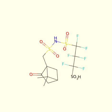 CC1(C)C2CC(=O)C1(CS(=O)(=O)NS(=O)(=O)C(F)(F)C(F)(F)C(F)(F)S(=O)(=O)O)C2